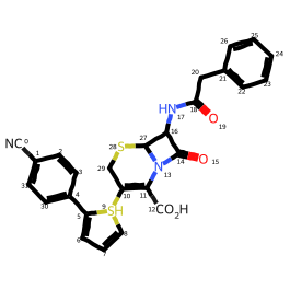 N#Cc1ccc(C2=CC=C[SH]2C2=C(C(=O)O)N3C(=O)C(NC(=O)Cc4ccccc4)C3SC2)cc1